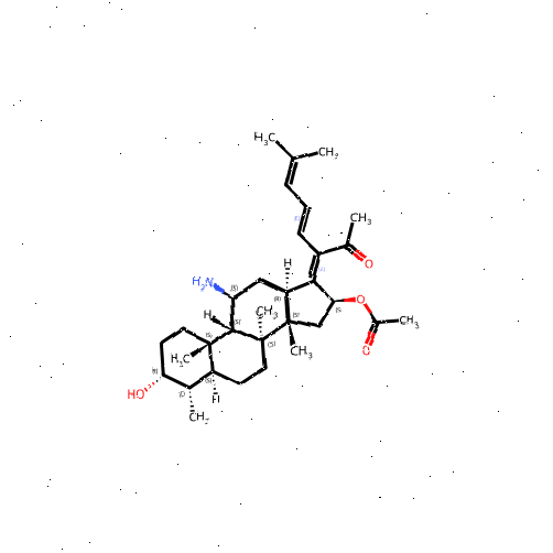 CC(=O)O[C@H]1C[C@@]2(C)[C@@H](C[C@H](N)[C@H]3[C@@]4(C)CC[C@@H](O)[C@@H](C)[C@@H]4CC[C@@]32C)/C1=C(\C=C\C=C(C)C)C(C)=O